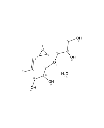 C1CO1.C=CC.O.OCC(O)COCC(O)CO